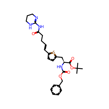 CC(C)(C)OC(=O)[C@H](Cc1ccc(C=CCCC(=O)NC2=NCCCN2)s1)NC(=O)OCc1ccccc1